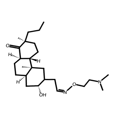 CCC[C@@]1(C)CC[C@H]2[C@@H](CC[C@@H]3C[C@@H](O)C(C/C=N\OCCN(C)C)C[C@@]32C)C1=O